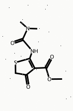 COC(=O)C1=C(NC(=O)N(C)C)SCC1=O